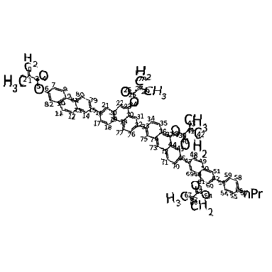 C=C(C)C(=O)Oc1ccc2c(ccc3cc(-c4ccc5c(c4)cc(OC(=O)C(=C)C)c4cc(-c6ccc7c(OC(=O)C(=C)C)c8cc(-c9ccc%10cc(-c%11ccc(CCC)cc%11)cc(OC(=O)C(=C)C)c%10c9)ccc8cc7c6)ccc45)ccc32)c1